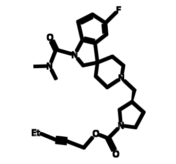 CCC#CCOC(=O)N1CC[C@H](CN2CCC3(CC2)CN(C(=O)N(C)C)c2ccc(F)cc23)C1